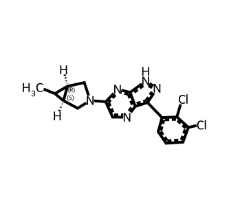 CC1[C@H]2CN(c3cnc4c(-c5cccc(Cl)c5Cl)n[nH]c4n3)C[C@@H]12